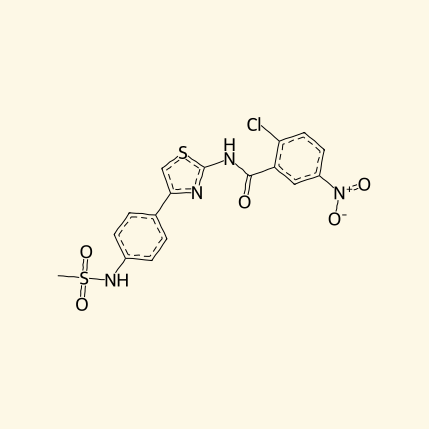 CS(=O)(=O)Nc1ccc(-c2csc(NC(=O)c3cc([N+](=O)[O-])ccc3Cl)n2)cc1